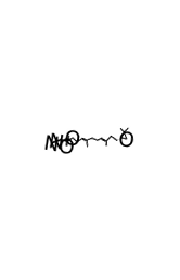 C/C(=C\COC(=O)C=[N+]=[N-])CC/C=C(\C)CC[C@H]1OC1(C)C